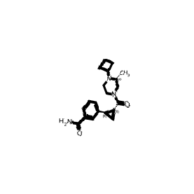 C[C@@H]1CN(C(=O)[C@@H]2C[C@H]2c2cccc(C(N)=O)c2)CCN1C1CCC1